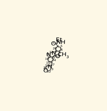 CCNC(=O)c1ccc(C)c(-n2cnc3ccc(CN4CCOCC4)cc3c2=O)c1